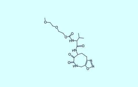 COCCOCCOC(=O)NC(C(=O)NC1CCc2nnoc2CNC(=O)C1=O)C(C)C